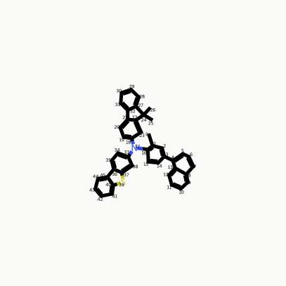 Cc1cc(-c2cccc3ccccc23)ccc1N(c1ccc2c(c1)C(C)(C)c1ccccc1-2)c1ccc2c(c1)sc1ccccc12